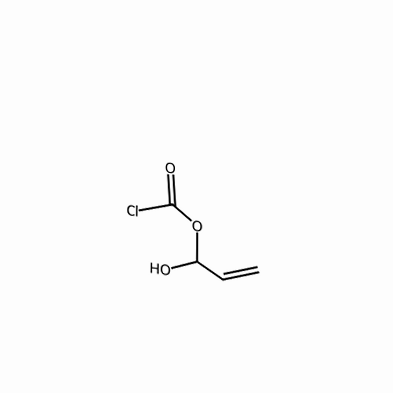 C=CC(O)OC(=O)Cl